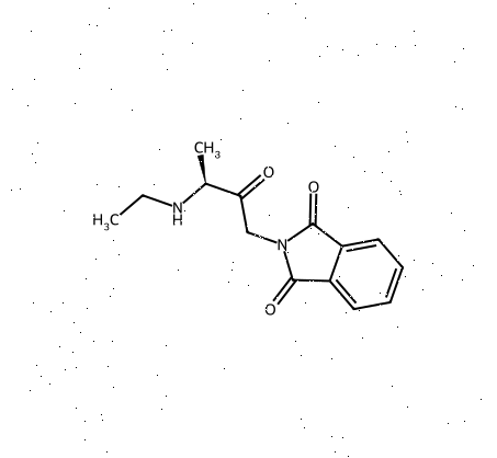 CCN[C@@H](C)C(=O)CN1C(=O)c2ccccc2C1=O